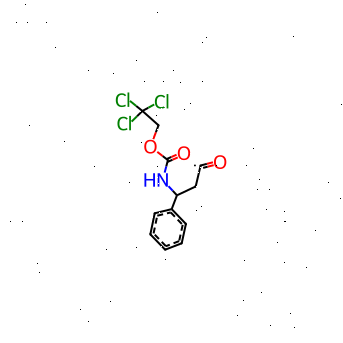 O=[C]CC(NC(=O)OCC(Cl)(Cl)Cl)c1ccccc1